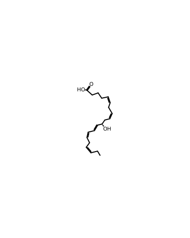 CC/C=C\C/C=C\C=C\[C@H](O)C/C=C\C/C=C\CCCC(=O)O